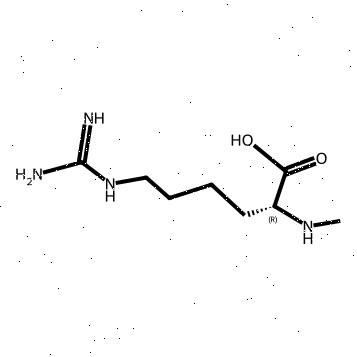 CN[C@H](CCCCNC(=N)N)C(=O)O